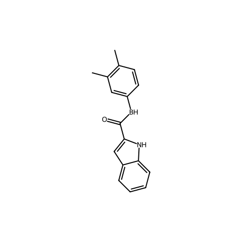 Cc1ccc(BC(=O)c2cc3ccccc3[nH]2)cc1C